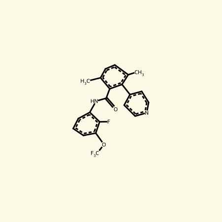 Cc1ccc(C)c(-c2ccncc2)c1C(=O)Nc1cccc(OC(F)(F)F)c1F